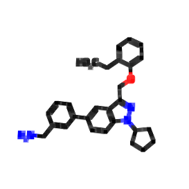 NCc1cccc(-c2ccc3c(c2)c(COc2ccccc2CC(=O)O)nn3C2CCCC2)c1